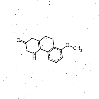 COc1cccc2c1CCC1=C2NCC(=O)C1